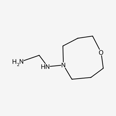 NCNN1CCCOCCC1